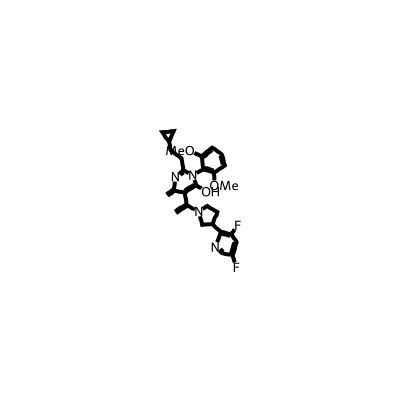 C=C1N=C(CCC2CC2)N(c2c(OC)cccc2OC)C(O)=C1C(=C)N1CCC(c2ncc(F)cc2F)C1